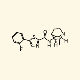 C[C@H]1[C@H](NC(=O)c2ncc(-c3ccccc3F)s2)C2CCN1CC2